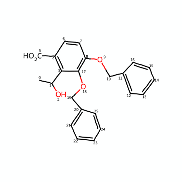 CC(O)c1c(C(=O)O)ccc(OCc2ccccc2)c1OCc1ccccc1